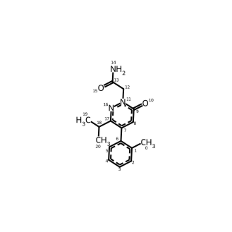 Cc1ccccc1-c1cc(=O)n(CC(N)=O)nc1C(C)C